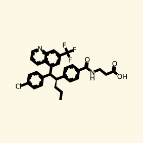 CCC[C@H](c1ccc(C(=O)NCCC(=O)O)cc1)C(c1ccc(Cl)cc1)c1cc(C(F)(F)F)cc2ncccc12